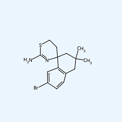 CC1(C)Cc2ccc(Br)cc2C2(CCSC(N)=N2)C1